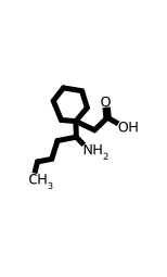 CCCCC(N)C1(CC(=O)O)CCCCC1